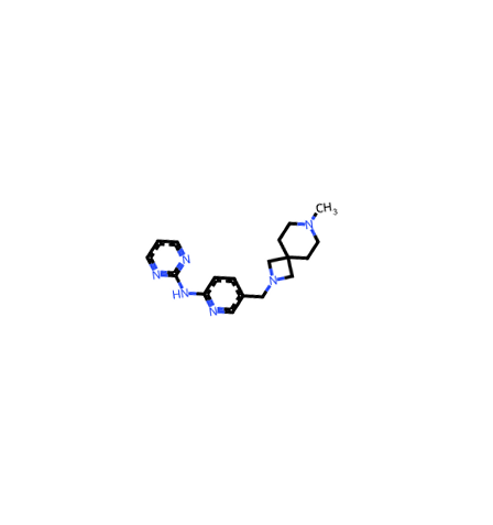 CN1CCC2(CC1)CN(Cc1ccc(Nc3ncccn3)nc1)C2